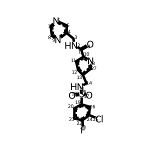 O=C(NCc1cnccn1)c1ccc(CNS(=O)(=O)c2ccc(F)c(Cl)c2)cn1